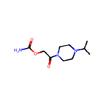 CC(C)N1CCN(C(=O)COC(N)=O)CC1